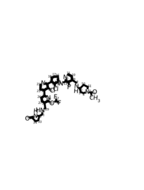 CC(=O)N1CCC(NCc2ccnc(Nc3cccc(-c4nccc(-c5ccc(CNCC6CCC(=O)N6)c(OC(F)F)n5)c4Cl)c3Cl)c2F)CC1